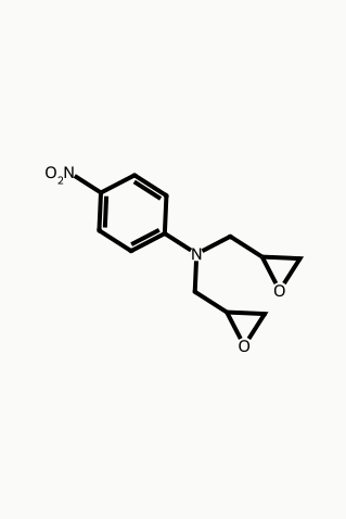 O=[N+]([O-])c1ccc(N(CC2CO2)CC2CO2)cc1